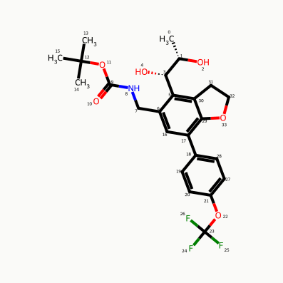 C[C@H](O)[C@@H](O)c1c(CNC(=O)OC(C)(C)C)cc(-c2ccc(OC(F)(F)F)cc2)c2c1CCO2